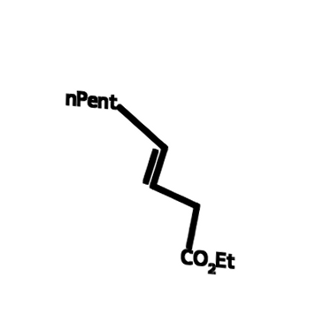 CCCCCC=CCC(=O)OCC